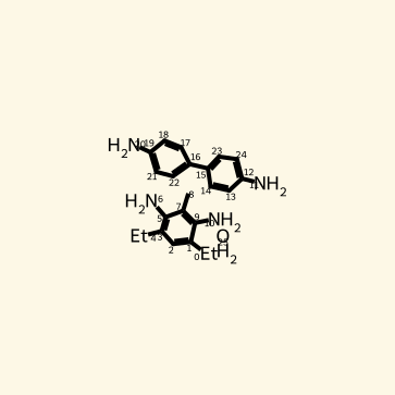 CCc1cc(CC)c(N)c(C)c1N.Nc1ccc(-c2ccc(N)cc2)cc1.O